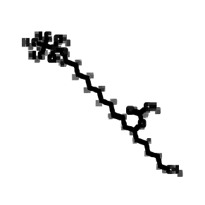 CCCCCCC(CC=CCCCCCCCCO[Si](C)(C)C(C)(C)C)OC(C)=O